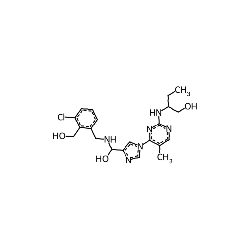 CCC(CO)Nc1ncc(C)c(-n2cnc(C(O)NCc3cccc(Cl)c3CO)c2)n1